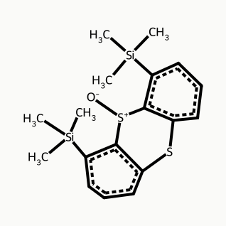 C[Si](C)(C)c1cccc2c1[S+]([O-])c1c(cccc1[Si](C)(C)C)S2